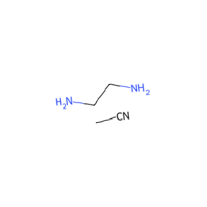 CC#N.NCCN